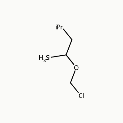 CC(C)CC([SiH3])OCCl